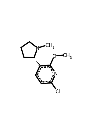 COc1nc(Cl)ccc1[C@@H]1CCCN1C